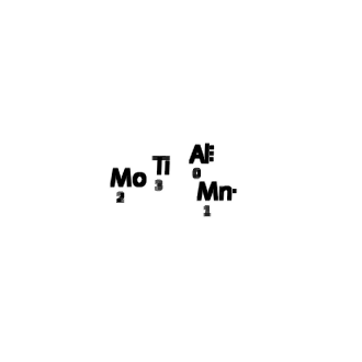 [Al].[Mn].[Mo].[Ti]